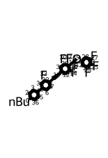 CCCCc1ccc(-c2ccc(C#Cc3cc(F)c(C(F)(F)Oc4cc(F)c(F)c(F)c4)c(F)c3)c(F)c2)cc1